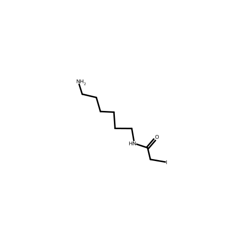 NCCCCCCNC(=O)CI